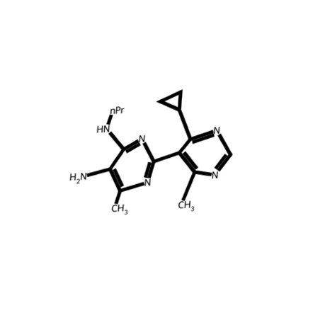 CCCNc1nc(-c2c(C)ncnc2C2CC2)nc(C)c1N